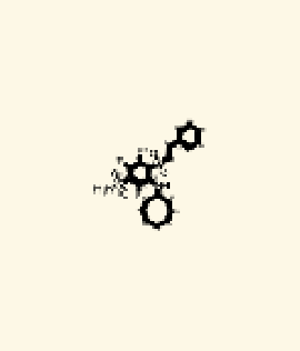 NS(=O)(=O)c1c(F)c(F)c(S(=O)(=O)CCc2ccccc2)c(NC2CCCCCCC2)c1F